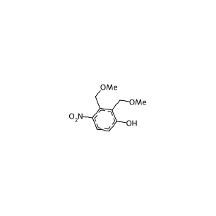 COCc1c(O)ccc([N+](=O)[O-])c1COC